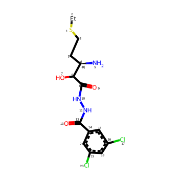 CCSCC[C@@H](N)C(O)C(=O)NNC(=O)c1cc(Cl)cc(Cl)c1